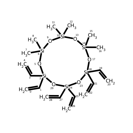 C=C[Si]1(C=C)O[Si](C)(C)O[Si](C)(C)O[Si](C)(C)O[Si](C=C)(C=C)O[Si](C=C)(C=C)O1